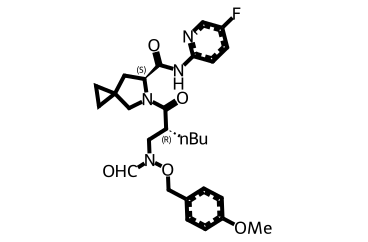 CCCC[C@H](CN(C=O)OCc1ccc(OC)cc1)C(=O)N1CC2(CC2)C[C@H]1C(=O)Nc1ccc(F)cn1